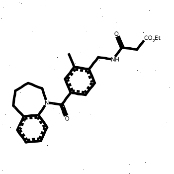 CCOC(=O)CC(=O)NCc1ccc(C(=O)N2CCCCc3ccccc32)cc1C